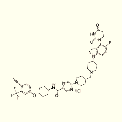 Cl.N#Cc1ccc(O[C@H]2CC[C@H](NC(=O)c3cnc(N4CCC(CN5CCC(n6ncc7c(N8CCC(=O)NC8=O)c(F)ccc76)CC5)CC4)cn3)CC2)cc1C(F)(F)F